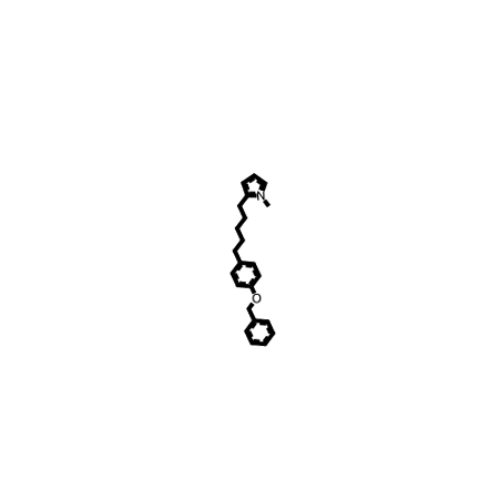 Cn1cccc1CCCCCc1ccc(OCc2ccccc2)cc1